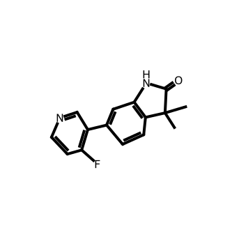 CC1(C)C(=O)Nc2cc(-c3cnccc3F)ccc21